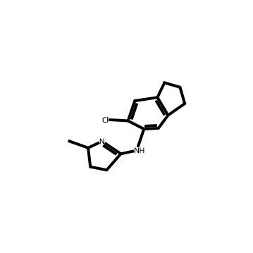 CC1CCC(Nc2cc3c(cc2Cl)CCC3)=N1